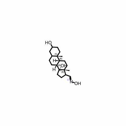 C[C@]12CCC(O)CC1CC[C@@H]1[C@H]2CC[C@]2(C)C(/C=N/O)CC[C@@]12O